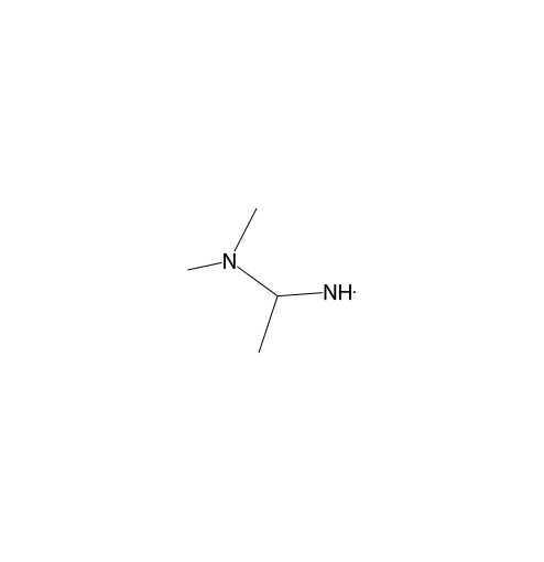 CC([NH])N(C)C